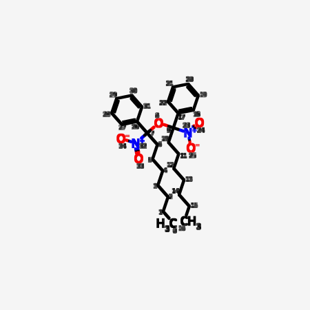 CCCCCCCC(OC(CCCCCCC)(c1ccccc1)[N+](=O)[O-])(c1ccccc1)[N+](=O)[O-]